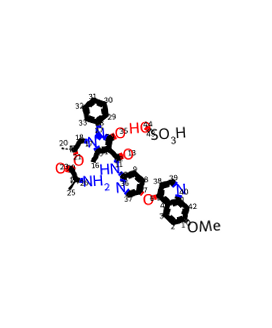 COc1ccc2c(Oc3ccc(NC(=O)c4c(C)n(C[C@@H](C)OC(=O)[C@H](C)N)n(-c5ccccc5)c4=O)nc3)ccnc2c1.O=S(=O)(O)O